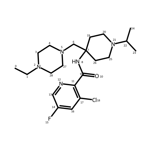 CCN1CCN(CC2(NC(=O)c3ncc(F)cc3Cl)CCN(C(C)C)CC2)CC1